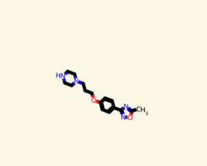 Cc1nc(-c2ccc(OCCCN3CCNCC3)cc2)no1